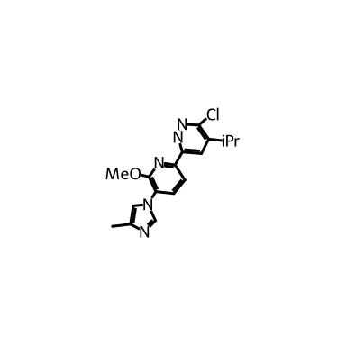 COc1nc(-c2cc(C(C)C)c(Cl)nn2)ccc1-n1cnc(C)c1